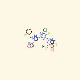 OC(CNc1nc(-c2cc(-c3ccon3)n(Cc3ccccc3F)n2)nc(Cl)c1F)(C(F)(F)F)C(F)(F)F